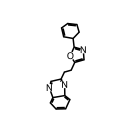 C1=CCC(c2ncc(CCc3cnc4ccccc4n3)o2)C=C1